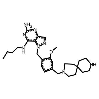 CCCCNc1nc(N)nc2cnn(Cc3ccc(CN4CCC5(CCNCC5)CC4)cc3OC)c12